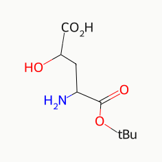 CC(C)(C)OC(=O)C(N)CC(O)C(=O)O